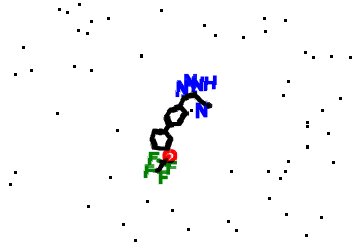 FC(F)C(F)(F)Oc1cccc(-c2ccc(-c3nn[nH]c3C3C=N3)cc2)c1